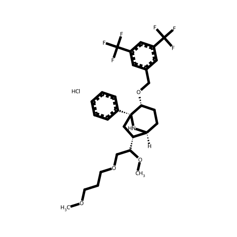 COCCCOCC(OC)[C@@H]1C[C@]2(c3ccccc3)N[C@H]1CC[C@H]2OCc1cc(C(F)(F)F)cc(C(F)(F)F)c1.Cl